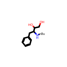 CCCCNC(Cc1ccccc1)C(O)CO